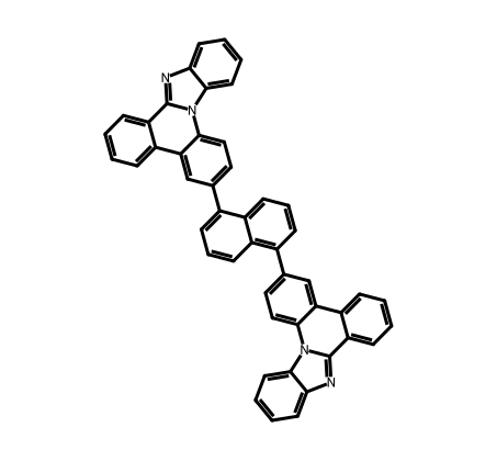 c1ccc2c(c1)nc1c3ccccc3c3cc(-c4cccc5c(-c6ccc7c(c6)c6ccccc6c6nc8ccccc8n76)cccc45)ccc3n21